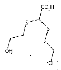 O=C(O)C(SCCO)SCCO